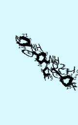 CC(C)(C(=O)N1CCC[C@@H]1C(N)c1ccc(C(=O)Nc2ccncc2)cc1)c1ccc(F)cc1